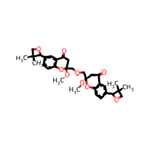 COC1(COCC2(OC)CC(=O)c3cc(C4OCC4(C)C)ccc3O2)CC(=O)c2cc(C3OCC3(C)C)ccc2O1